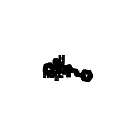 Cc1ccccc1S(=O)(=O)Nc1cc(/C=C/c2ccccc2)sc1C(=O)O